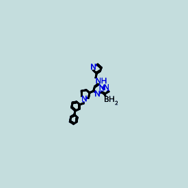 Bc1cnn2c(NCc3cccnc3)cc(C3CCCN(Cc4cccc(-c5ccccc5)c4)C3)nc12